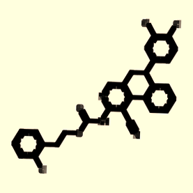 N#Cc1c(NC(=O)OCCc2ccccc2Cl)ncc2c1-c1ccccc1C(c1ccc(Cl)c(Cl)c1)C2